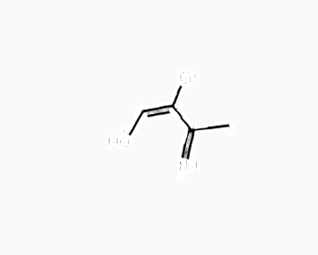 CC(=N)/C(Cl)=C\O